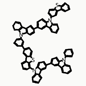 C1=Cc2c(n(-c3cccc(-c4ccc5sc6c(-n7c8ccccc8c8cc(-c9ccc%10c(c9)c9ccccc9n%10-c9ccccc9)ccc87)cccc6c5c4)c3)c3ccc(-c4ccc5c(c4)c4ccccc4n5-c4ccc5sc6ccccc6c5c4)cc23)CC1